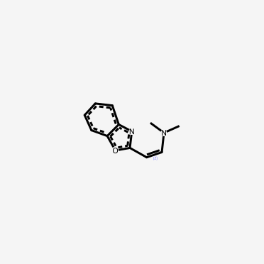 CN(C)/C=C\c1nc2ccccc2o1